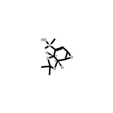 CC1(C)O[C@@H]2C([Si](C)(C)O)=CC3OC3[C@@H]2O1